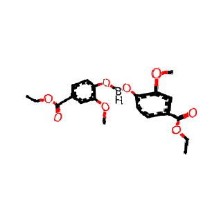 CCOC(=O)c1ccc(OBOc2ccc(C(=O)OCC)cc2OC)c(OC)c1